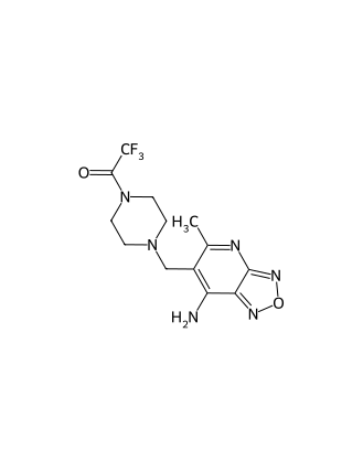 Cc1nc2nonc2c(N)c1CN1CCN(C(=O)C(F)(F)F)CC1